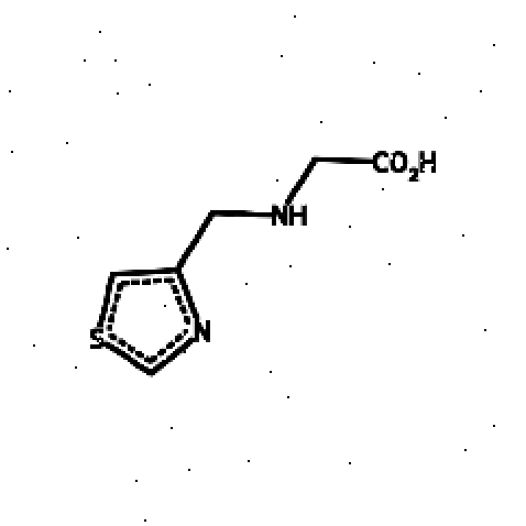 O=C(O)CNCc1cscn1